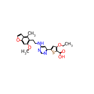 CCOc1cc(-c2cc(NCCc3c(OC)cc4occc4c3C)ncn2)sc1C(=O)O